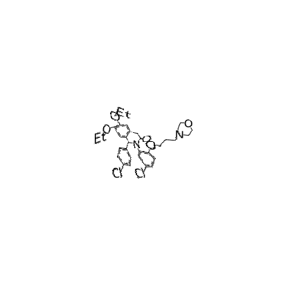 CCOc1cc2c(cc1OCC)C(c1ccc(Cl)cc1)N(c1cc(Cl)ccc1OCCCN1CCOCC1)C(=O)C2